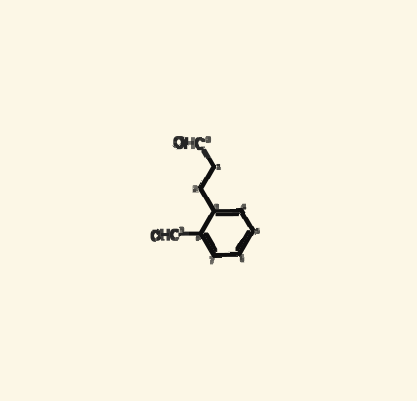 O=CCCc1ccccc1C=O